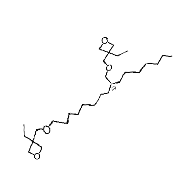 CCCCCCC[C@@H](CCCCCCCCOCC1(CC)COC1)COCC1(CC)COC1